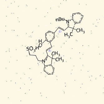 CCCC[N+]1=C(/C=C/c2ccc(O)c(/C=C/C3=[N+](CCCS(=O)(=O)O)c4ccccc4C3(C)C)c2)C(C)(C)c2ccccc21